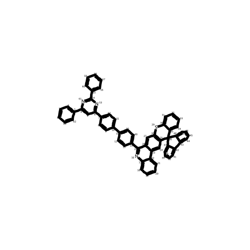 c1ccc(-c2cc(-c3ccc(-c4ccc(-c5nc6ccccc6c6cc7c(cc56)Sc5ccccc5C75c6ccccc6-c6ccccc65)cc4)cc3)nc(-c3ccccc3)n2)cc1